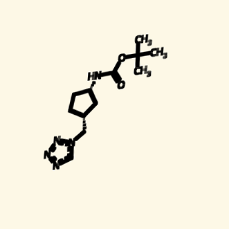 CC(C)(C)OC(=O)N[C@H]1CC[C@@H](Cn2cnnn2)C1